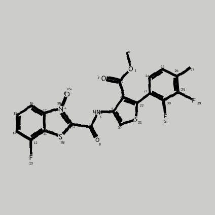 COC(=O)c1c(NC(=O)c2sc3c(F)cccc3[n+]2[O-])csc1-c1ccc(C)c(F)c1F